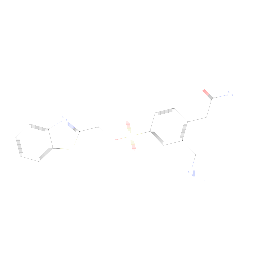 NCc1cc(S(=O)(=O)OCc2nc3ccccc3s2)ccc1CC(N)=O